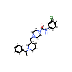 CC(c1ccccc1)N1CCCC(CN2CCN(C(=O)Nc3cccc(Cl)c3)CC2)C1